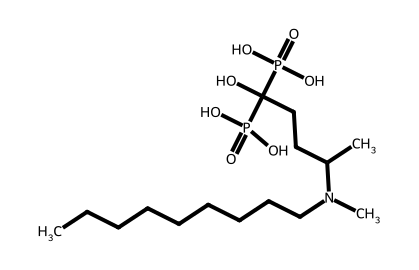 CCCCCCCCCN(C)C(C)CCC(O)(P(=O)(O)O)P(=O)(O)O